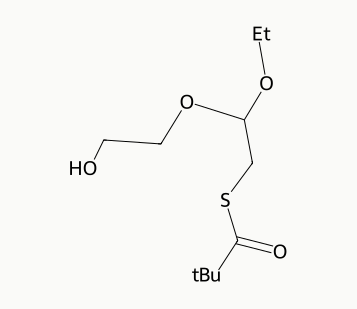 CCOC(CSC(=O)C(C)(C)C)OCCO